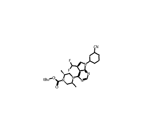 CC1CN(C(=O)OC(C)(C)C)[C@@H](C)CN1c1ncnc2c1c(C(F)F)cn2C1CCCC(C#N)C1